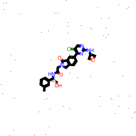 Cc1cccc([C@@H](CO)NC(=O)CN2Cc3ccc(-c4nc(NC5COC5)ncc4Cl)cc3C2=O)c1